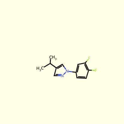 CC(C)c1cnn(-c2ccc(F)c(F)c2)c1